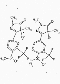 CN1N=C(c2ccc([S+](C)[O-])c(C(F)(F)F)c2)C(C)(Br)C1=O.CN1N=C(c2ccc([S+](C)[O-])c(C(F)(F)F)c2)C(C)(Br)C1=O